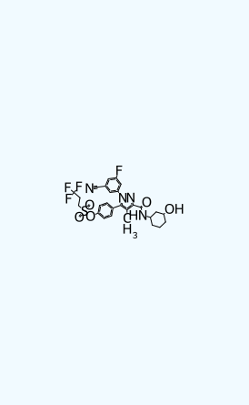 Cc1c(C(=O)NC2CCCC(O)C2)nn(-c2cc(F)cc(C#N)c2)c1-c1ccc(OS(=O)(=O)CCC(F)(F)F)cc1